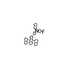 Fc1ccc(N(c2ccc(-c3ccc4c(-c5cccc6ccccc56)c5ccccc5c(-c5cccc6ccccc56)c4c3)cc2)c2ccc3ccccc3c2)cc1